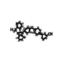 N#Cc1cncc(N2CCN(Cc3ccc(-n4c(-c5cccnc5N)nc5cccnc54)cc3)CC2)c1